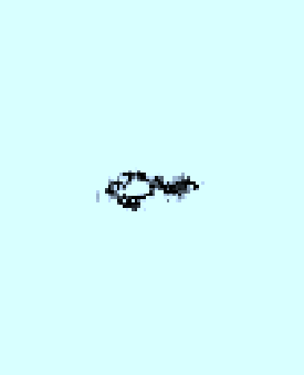 CNC(=O)COc1cc2cc(Nc3nc(N4CCC(OC5CC(N6CCN(c7ccc8c(c7)C(=O)N([C@@H]7CCC(=O)NC7=O)C8=O)[C@H](C)C6)C5)CC4)ncc3Cl)ccc2n(C(C)C)c1=O